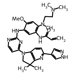 C=CC(=O)Nc1cc(Nc2nccc(N3CC(C)(C)c4nc(-c5cn[nH]c5)ccc43)n2)c(OC)cc1N(C)CCN(C)C